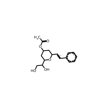 CC(=O)OC1CC(/C=C/c2ccccc2)OC(C(O)CO)C1